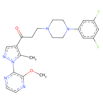 COc1nccnc1-n1ncc(C(=O)CCN2CCN(c3cc(F)cc(F)c3)CC2)c1C